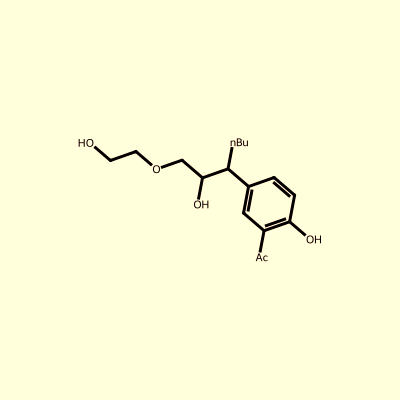 CCCCC(c1ccc(O)c(C(C)=O)c1)C(O)COCCO